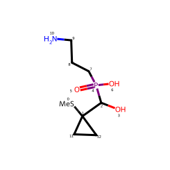 CSC1(C(O)P(=O)(O)CCCN)CC1